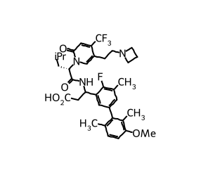 COc1ccc(C)c(-c2cc(C)c(F)c(C(CC(=O)O)NC(=O)[C@H](CC(C)C)n3cc(CCN4CCC4)c(C(F)(F)F)cc3=O)c2)c1C